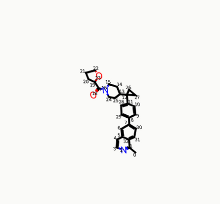 Cc1nccc2cc(-c3ccc(C4(C5CCN(C(=O)C6CCCO6)CC5)CC4)cc3)ccc12